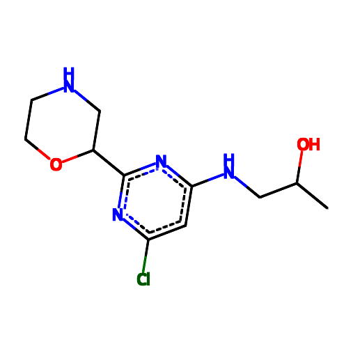 CC(O)CNc1cc(Cl)nc(C2CNCCO2)n1